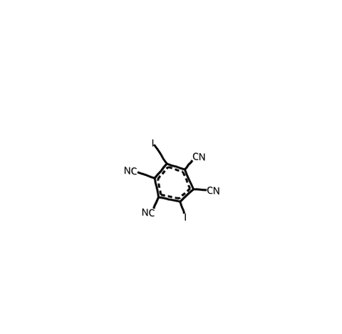 N#Cc1c(I)c(C#N)c(C#N)c(I)c1C#N